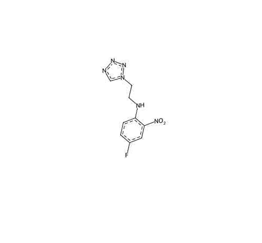 O=[N+]([O-])c1cc(F)ccc1NCCn1cnnn1